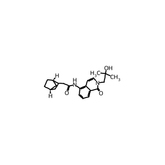 CC(C)(O)Cn1ccc2c(NC(=O)CC3C[C@@H]4CC[C@H]3C4)cccc2c1=O